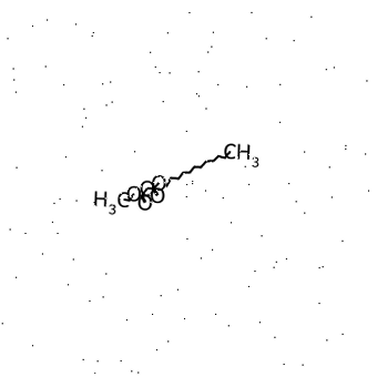 CCCCCCCCCCCCOC(=O)OC(=O)OCC